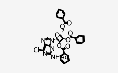 CC(=O)Nc1nc(Cl)c2ncn([C@@H]3O[C@H](COC(=O)c4ccccc4)[C@@H](OC(=O)c4ccccc4)[C@H]3OC(=O)c3ccccc3)c2n1